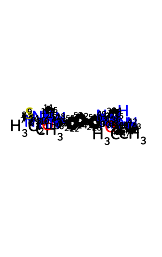 CC(C)[C@H](Nc1nccs1)C(=O)N1CCC[C@H]1c1nc(-c2ccc3cc(-c4ccc5[nH]c([C@@H]6CCCN6C(=O)[C@@H](NC6=NC=CC6)C(C)C)nc5c4)ccc3c2)c[nH]1